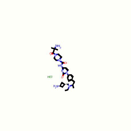 CCN(C[C@H]1C[C@@H](N)C1)C(C)Cc1ccc(-n2ccc(NC(=O)N3CCN(C(=O)C(C)(C)N)CC3)nc2=O)cc1.Cl